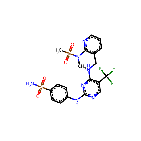 CN(c1ncccc1CNc1nc(Nc2ccc(S(N)(=O)=O)cc2)ncc1C(F)(F)F)S(C)(=O)=O